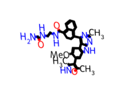 COc1cc2c(cc1C1=C(C)ONC1C)[nH]c1nc(C)nc(C3=c4ccccc4=C(C(=O)NCCNC(N)=O)CC3)c12